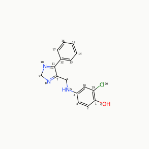 Oc1ccc(NCC2=NCN=C2c2ccccc2)cc1Cl